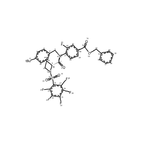 CC(C)(C)c1ccc(CN(C(=O)[C@H]2CCN2S(=O)(=O)c2c(F)c(F)c(F)c(F)c2F)c2ccc(C(=O)OCc3ccccc3)cc2F)cc1